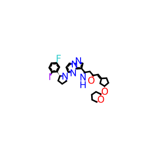 N=C(CC(=O)/C=C1/CC[C@H](OC2CCCCO2)C1)c1cnn2ccc(N3CCC[C@@H]3c3cc(F)ccc3I)nc12